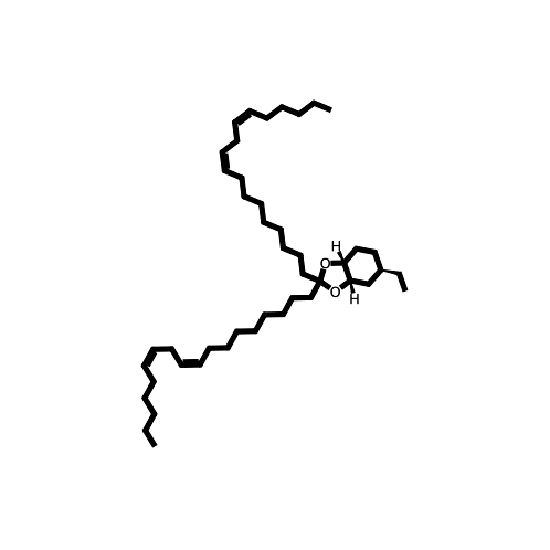 CCCCC/C=C\C/C=C\CCCCCCCCC1(CCCCCCCC/C=C\C/C=C\CCCCC)O[C@H]2C[C@H](CC)CC[C@H]2O1